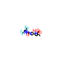 CCc1ccc(C2CCN(C(=O)Cn3nc(C(F)F)cc3C(F)F)CC2)nc1C(=O)O